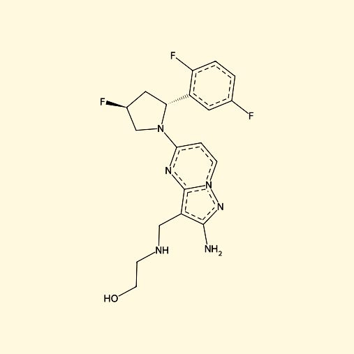 Nc1nn2ccc(N3C[C@@H](F)C[C@@H]3c3cc(F)ccc3F)nc2c1CNCCO